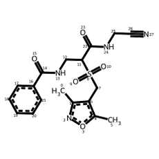 Cc1noc(C)c1CS(=O)(=O)C(CNC(=O)c1ccccc1)C(=O)NCC#N